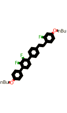 CCCCOc1ccc(-c2ccc(-c3ccc(/C=C/c4ccc(OCCCC)cc4F)cc3)c(F)c2F)cc1